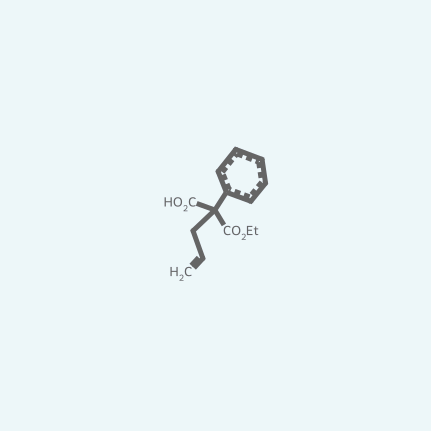 C=CCC(C(=O)O)(C(=O)OCC)c1ccccc1